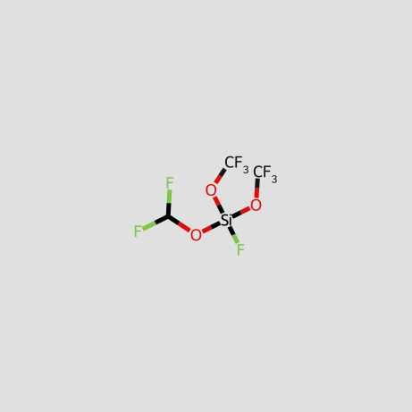 FC(F)O[Si](F)(OC(F)(F)F)OC(F)(F)F